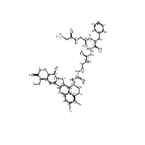 CCC1C(=O)OCc2c1cc1n(c2=O)Cc2c-1nc1cc(F)c(C)c3c1c2C(NC(=O)COCNC(=O)CNC(=O)C(Cc1ccccc1)NC(=O)CNC(=O)CN)CC3